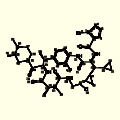 CCn1nccc1C(=O)N[C@H](C(=O)Nc1ccc([C@H](C)[C@@H](NC(=O)[C@H](C)N(C)C(=O)NCCCl)C(=O)N2CCN(C)[C@H](C)C2)cc1F)C(C1CC1)C1CC1